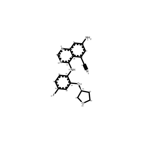 N#Cc1cc(N)cc2ncnc(Nc3ccc(F)cc3O[C@H]3CCOC3)c12